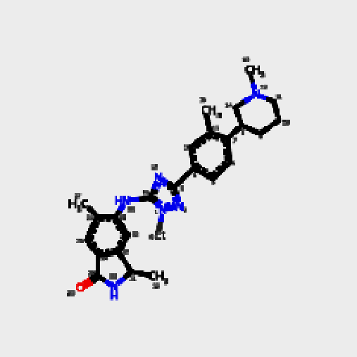 CCn1nc(-c2ccc(C3CCCN(C)C3)c(C)c2)nc1Nc1cc2c(cc1C)C(=O)NC2C